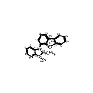 CC(C)N1c2ncccc2N(c2cccc3c2oc2ccccc23)C1C